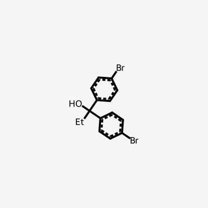 CCC(O)(c1ccc(Br)cc1)c1ccc(Br)cc1